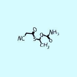 CC(OC(N)=O)SC(=O)CC#N